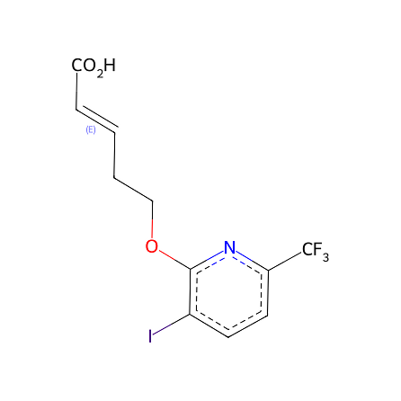 O=C(O)/C=C/CCOc1nc(C(F)(F)F)ccc1I